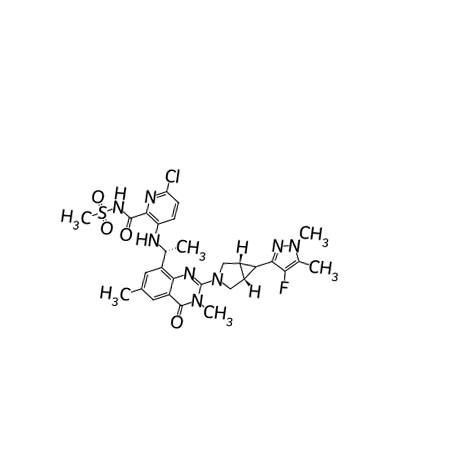 Cc1cc([C@@H](C)Nc2ccc(Cl)nc2C(=O)NS(C)(=O)=O)c2nc(N3C[C@@H]4C(c5nn(C)c(C)c5F)[C@@H]4C3)n(C)c(=O)c2c1